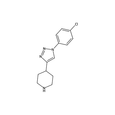 Clc1ccc(-n2cc(C3CCNCC3)nn2)cc1